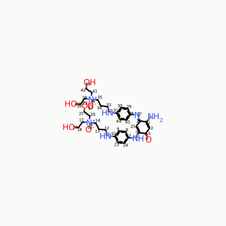 NC1=CC(=O)C(Nc2ccc(NCCC[N+]([O-])(CCO)CCO)cc2)=C/C1=N\c1ccc(NCCC[N+]([O-])(CCO)CCO)cc1